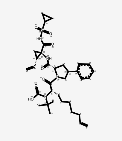 C=CCCCCC[C@@H](C(=O)N1C[C@H](c2ccccc2)C[C@H]1C(=O)N[C@]1(C(=O)NS(=O)(=O)C2CC2)C[C@H]1C=C)N(C(=O)O)C(C)(C)C